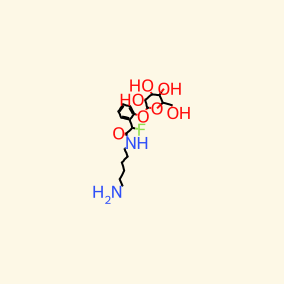 NCCCCCCNC(=O)C(F)c1ccccc1OC1OC(CO)C(O)C(O)C1O